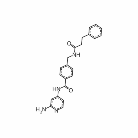 Nc1cc(NC(=O)c2ccc(CNC(=O)CCc3ccccc3)cc2)ccn1